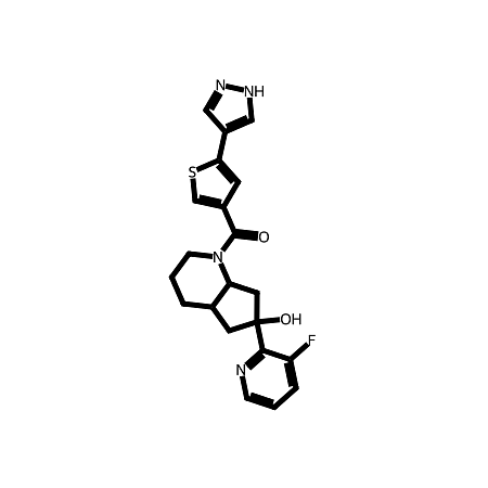 O=C(c1csc(-c2cn[nH]c2)c1)N1CCCC2CC(O)(c3ncccc3F)CC21